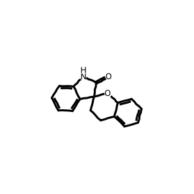 O=C1Nc2ccccc2C12CCc1ccccc1O2